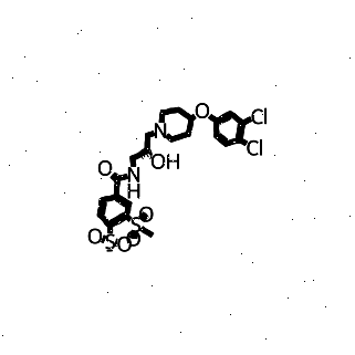 CS(=O)(=O)c1ccc(C(=O)NC[C@@H](O)CN2CCC(Oc3ccc(Cl)c(Cl)c3)CC2)cc1S(C)(=O)=O